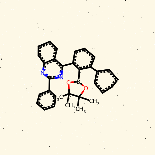 CC1(C)OB(c2c(-c3ccccc3)cccc2-c2nc(-c3ccccc3)nc3ccccc23)OC1(C)C